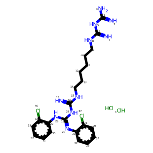 Cl.Cl.N=C(N)NC(=N)NCCCCCCNC(=N)NC(=Nc1ccccc1Cl)Nc1ccccc1Cl